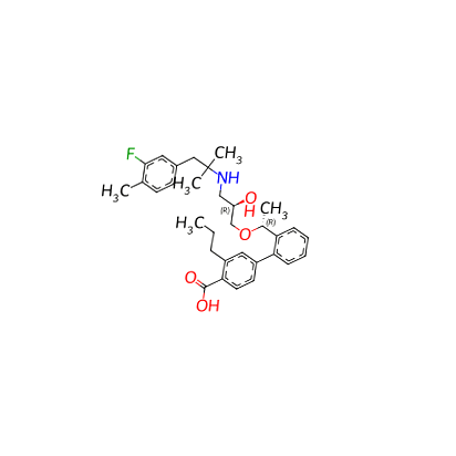 CCCc1cc(-c2ccccc2[C@@H](C)OC[C@H](O)CNC(C)(C)Cc2ccc(C)c(F)c2)ccc1C(=O)O